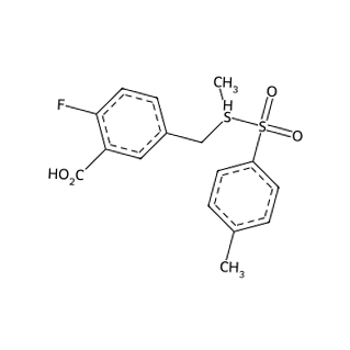 Cc1ccc(S(=O)(=O)[SH](C)Cc2ccc(F)c(C(=O)O)c2)cc1